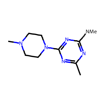 CNc1nc(C)nc(N2CCN(C)CC2)n1